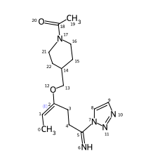 C/C=C(\CCC(=N)n1ccnn1)OCC1CCN(C(C)=O)CC1